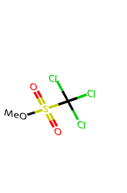 [CH2]OS(=O)(=O)C(Cl)(Cl)Cl